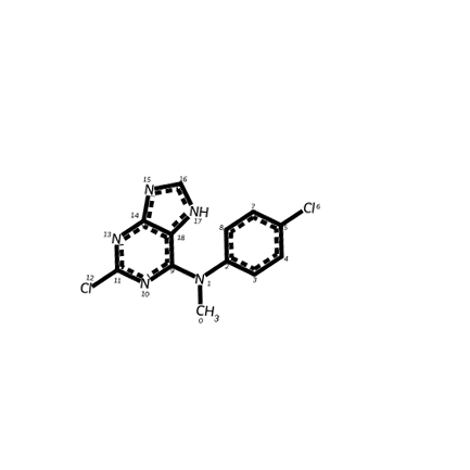 CN(c1ccc(Cl)cc1)c1nc(Cl)nc2nc[nH]c12